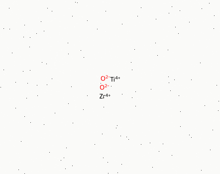 [O-2].[O-2].[Ti+4].[Zr+4]